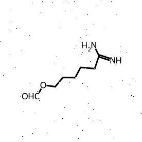 N=C(N)CCCCCO[C]=O